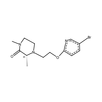 C[C@@H]1C(=O)N(C)CCN1CCOc1ccc(Br)cn1